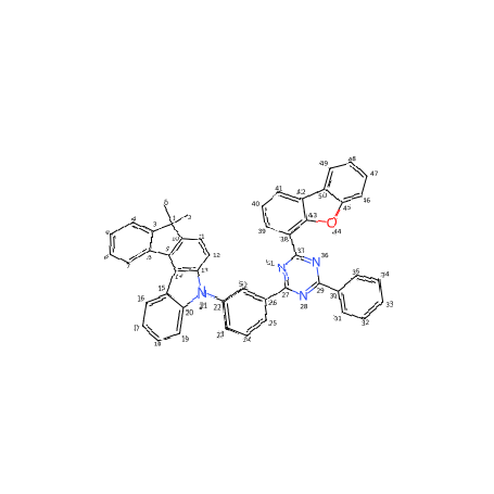 CC1(C)c2ccccc2-c2c1ccc1c2c2ccccc2n1-c1cccc(-c2nc(-c3ccccc3)nc(-c3cccc4c3oc3ccccc34)n2)c1